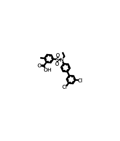 CCN(c1ccc(-c2cc(Cl)cc(Cl)c2)cc1)S(=O)(=O)c1ccc(C)c(C(=O)O)c1